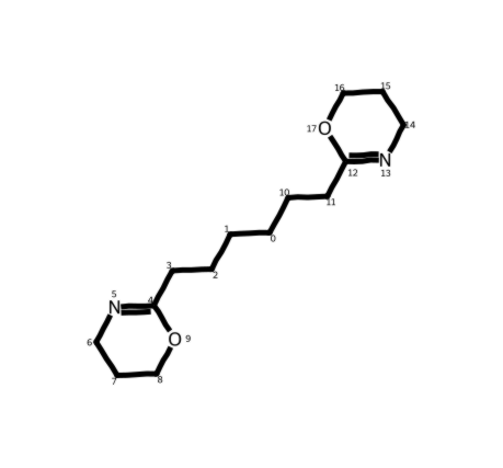 C(CCCC1=NCCCO1)CCC1=NCCCO1